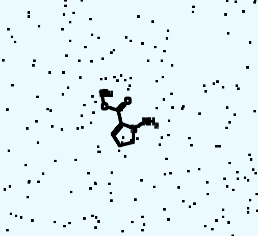 CC(C)(C)OC(=O)C1=CCCN1N